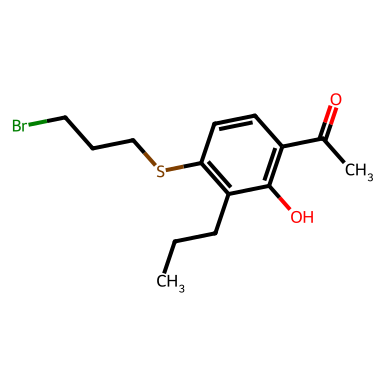 CCCc1c(SCCCBr)ccc(C(C)=O)c1O